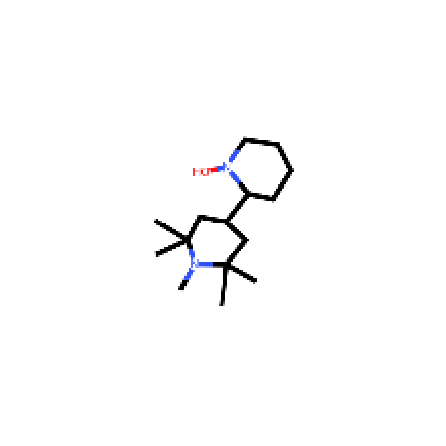 CN1C(C)(C)CC(C2CCCCN2O)CC1(C)C